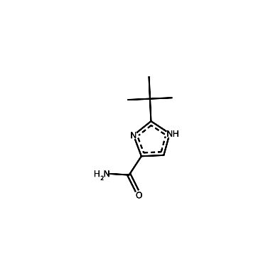 CC(C)(C)c1nc(C(N)=O)c[nH]1